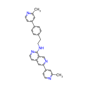 Cc1cc(-c2ccc(CCNc3nccc4cc(-c5ccnc(C)c5)ncc34)cc2)ccn1